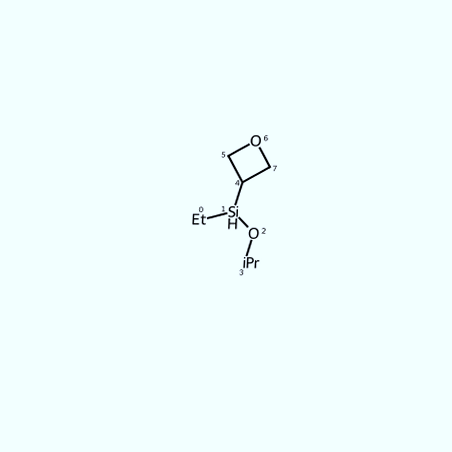 CC[SiH](OC(C)C)C1COC1